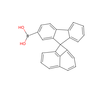 OB(O)c1ccc2c(c1)C1(c3ccccc3-2)c2cccc3cccc1c23